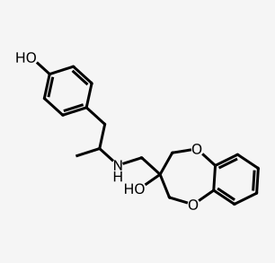 CC(Cc1ccc(O)cc1)NCC1(O)COc2ccccc2OC1